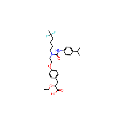 CCOC(Cc1ccc(OCCN(CCCCC(C)(F)F)C(=O)Nc2ccc(C(C)C)cc2)cc1)C(=O)O